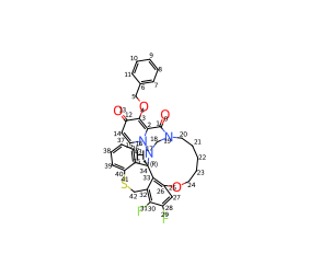 O=C1c2c(OCc3ccccc3)c(=O)ccn2N2CN1CCCCCOc1cc(F)c(F)c3c1[C@@H]2c1ccccc1SC3